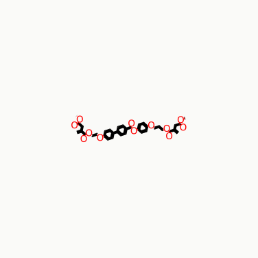 C=C(CC(=O)OC)C(=O)OCCCOc1ccc(OC(=O)c2ccc(-c3ccc(OCCOC(=O)C(=C)CC(=O)OC)cc3)cc2)cc1